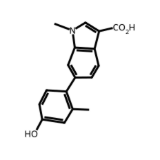 Cc1cc(O)ccc1-c1ccc2c(C(=O)O)cn(C)c2c1